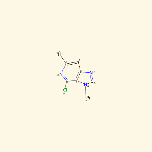 [2H]c1cc2ncn(C(C)C)c2c(Cl)n1